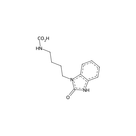 O=C(O)NCCCCn1c(=O)[nH]c2ccccc21